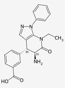 CCN1C(=O)[C@@H](N)[C@H](c2cccc(C(=O)O)c2)c2cnn(-c3ccccc3)c21